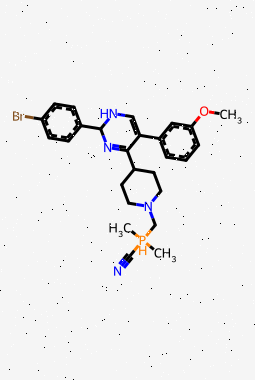 COc1cccc(C2=CNC(c3ccc(Br)cc3)N=C2C2CCN(C[PH](C)(C)C#N)CC2)c1